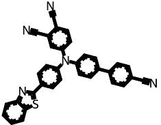 N#Cc1ccc(-c2ccc(N(c3ccc(-c4nc5ccccc5s4)cc3)c3ccc(C#N)c(C#N)c3)cc2)cc1